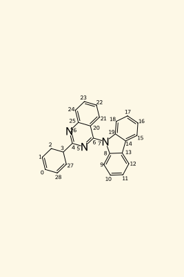 C1=CCC(c2nc(-n3c4ccccc4c4ccccc43)c3ccccc3n2)C=C1